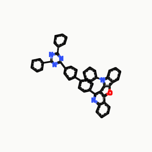 c1ccc(-c2nc(-c3ccccc3)nc(-c3ccc(-c4ccc(-c5nc6ccccc6c6oc7c8ccccc8n(-c8ccccc8)c7c56)cc4)cc3)n2)cc1